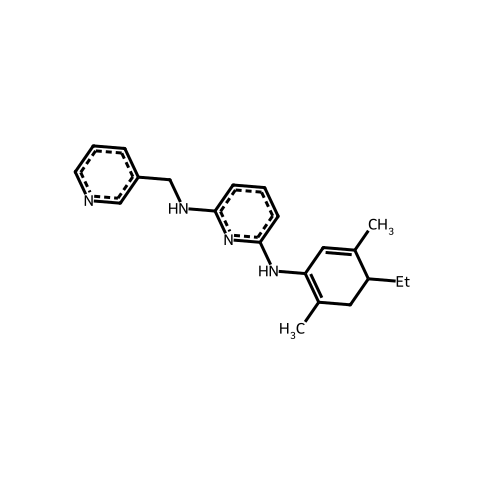 CCC1CC(C)=C(Nc2cccc(NCc3cccnc3)n2)C=C1C